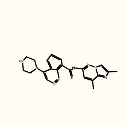 Cc1cn2nc(NC(=O)c3cccc4c(N5CCNCC5)cnnc34)cc(C)c2n1